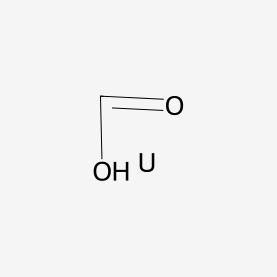 O=CO.[U]